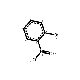 O=[N+]([O-])c1cc[c]cc1Br